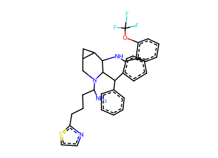 NC(CCCc1nccs1)N1CC2CC2C(NCc2ccccc2OC(F)(F)F)C1C(c1ccccc1)c1ccccc1